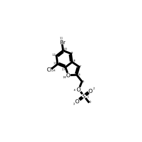 CS(=O)(=O)OCc1cc2cc(Br)cc(Cl)c2o1